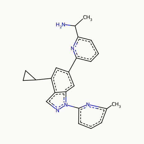 Cc1cccc(-n2ncc3c(C4CC4)cc(-c4cccc(C(C)N)n4)cc32)n1